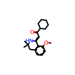 COc1cccc2c1/C(=C/C(=O)C1CCCCC1)NC(C)(C)C2